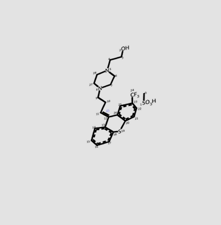 CS(=O)(=O)O.OCCN1CCN(CC/C=C2/c3ccccc3Sc3ccc(C(F)(F)F)cc32)CC1